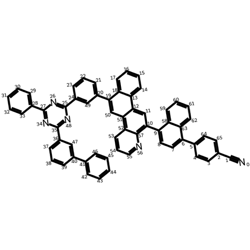 N#Cc1ccc(-c2ccc(-c3cc4c5ccccc5c(-c5cccc(-c6nc(-c7ccccc7)nc(-c7cccc(-c8ccccc8)c7)n6)c5)cc4c4cccnc34)c3ccccc23)cc1